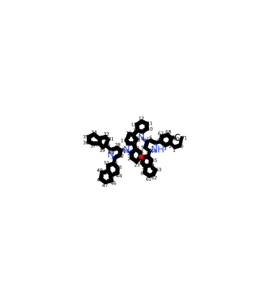 C1=Cc2cc(C3=CC(n4c5ccccc5c5ccc6c(c7ccccc7n6-c6cc(-c7ccc8ccccc8c7)nc(-c7ccc8ccccc8c7)c6)c54)=CC(c4ccc5ccccc5c4)N3)ccc2CC1